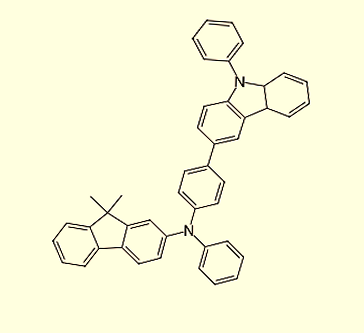 CC1(C)c2ccccc2-c2ccc(N(c3ccccc3)c3ccc(-c4ccc5c(c4)C4C=CC=CC4N5c4ccccc4)cc3)cc21